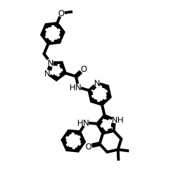 COc1ccc(Cn2cc(C(=O)Nc3cc(-c4[nH]c5c(c4Nc4ccccc4)C(=O)CC(C)(C)C5)ccn3)cn2)cc1